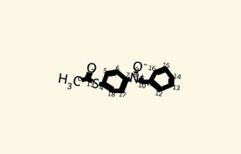 CC(=O)Sc1ccc([N+]([O-])=Cc2ccccc2)cc1